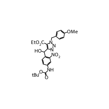 CCOC(=O)c1c(C(O)c2ccc(NC(=O)OC(C)(C)C)cc2[N+](=O)[O-])nnn1Cc1ccc(OC)cc1